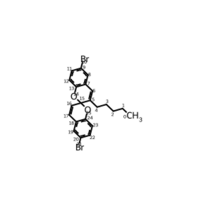 CCCCCC1=Cc2cc(Br)ccc2OC12C=Cc1cc(Br)ccc1O2